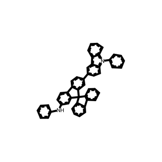 c1ccc(Nc2ccc3c(c2)C2(c4ccccc4-c4ccccc42)c2cc(-c4ccc5c(c4)c4ccccc4n5-c4ccccc4)ccc2-3)cc1